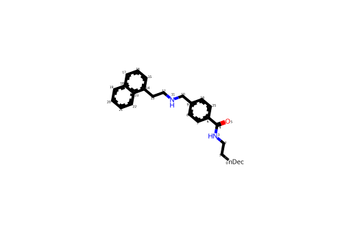 CCCCCCCCCCCCNC(=O)c1ccc(CNCCc2cccc3ccccc23)cc1